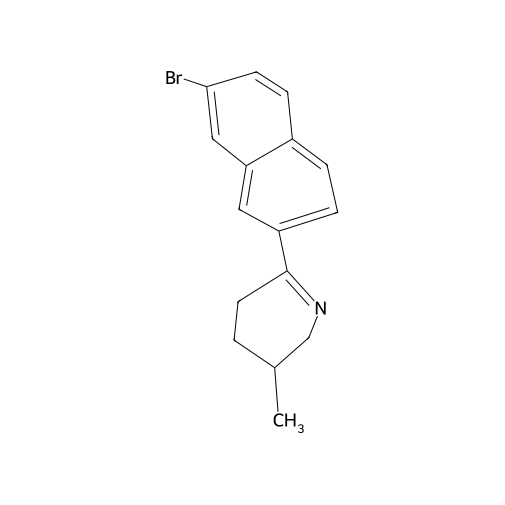 CC1CCC(c2ccc3ccc(Br)cc3c2)=NC1